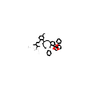 C=C1CC2C(CCc3ccc4c(oc5ccccc54)c3-c3n(-c4cccc(-c5ccccc5)c4)c4ccccc4[n+]31)c1cc(C(C)C)ccc1-c1cc(C(C)C)c([Si](C)(C)C)c[n+]12